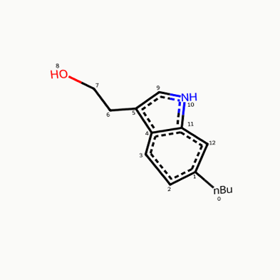 CCCCc1ccc2c(CCO)c[nH]c2c1